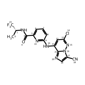 C[C@@H](NC(=O)c1cccc(Nc2cc(Cl)nn3c(C#N)cnc23)n1)C(F)(F)F